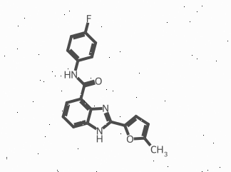 Cc1ccc(-c2nc3c(C(=O)Nc4ccc(F)cc4)cccc3[nH]2)o1